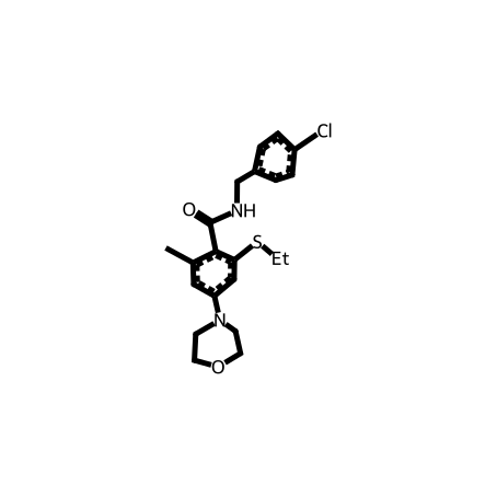 CCSc1cc(N2CCOCC2)cc(C)c1C(=O)NCc1ccc(Cl)cc1